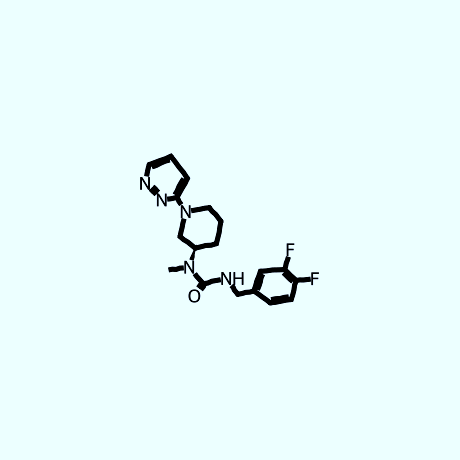 CN(C(=O)NCc1ccc(F)c(F)c1)[C@@H]1CCCN(c2cccnn2)C1